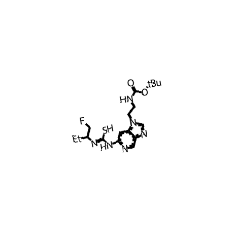 CCC(CF)N=C(S)Nc1cc2c(cn1)ncn2CCNC(=O)OC(C)(C)C